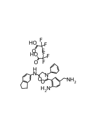 NCc1ccc(N)c(C(=O)N(CC(=O)Nc2ccc3c(c2)CCC3)c2ccccc2)c1.O=C(O)C(F)(F)F.O=C(O)C(F)(F)F